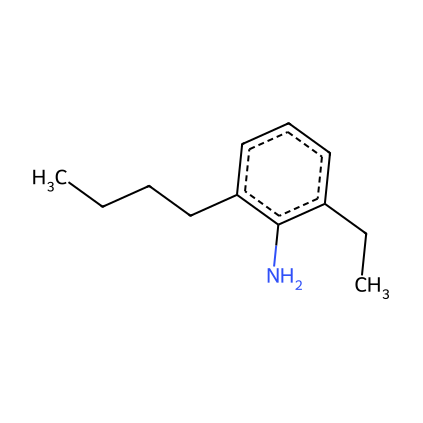 CCCCc1cccc(CC)c1N